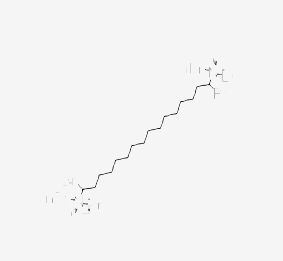 CCC[N+](C)(CC)C(Br)CCCCCCCCCCCCCCC(Br)[N+](C)(CC)CCC